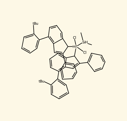 C[SiH](C)[Hf]([Cl])([Cl])([CH]1C(c2ccccc2)=Cc2c(-c3ccccc3C(C)(C)C)cccc21)[CH]1C(c2ccccc2)=Cc2c(-c3ccccc3C(C)(C)C)cccc21